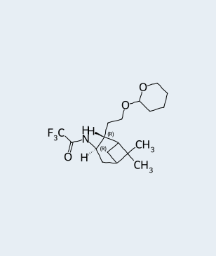 CC1(C)C2CC1[C@@H](CCOC1CCCCO1)[C@H](NC(=O)C(F)(F)F)C2